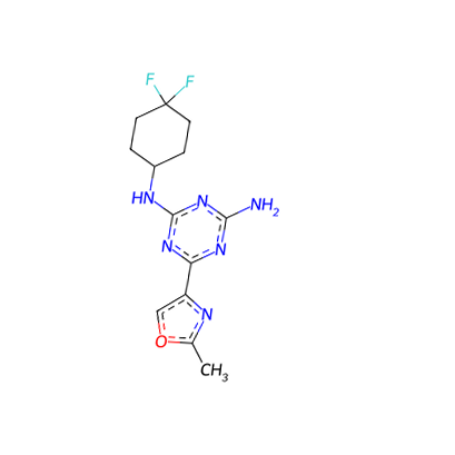 Cc1nc(-c2nc(N)nc(NC3CCC(F)(F)CC3)n2)co1